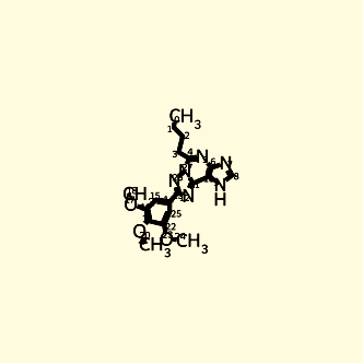 CCCCc1nc2nc[nH]c2c2nc(-c3cc(OC)c(OC)c(OC)c3)nn12